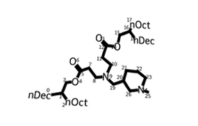 CCCCCCCCCCC(CCCCCCCC)COC(=O)CCN(CCC(=O)OCC(CCCCCCCC)CCCCCCCCCC)CC1CCCN(C)C1